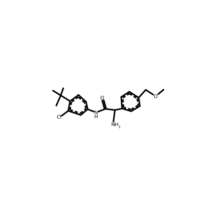 COCc1ccc(C(N)C(=O)Nc2ccc(C(C)(C)C)c(Cl)c2)cc1